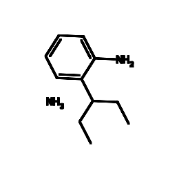 CCC(CC)c1ccccc1N.N